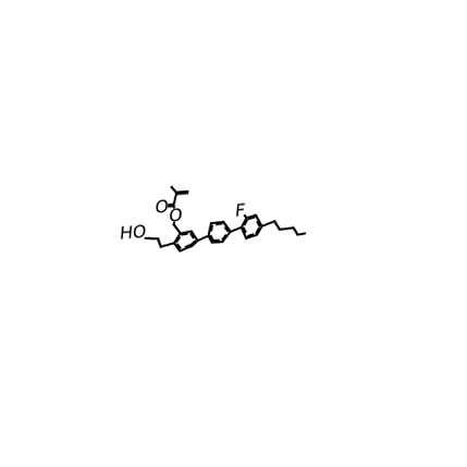 C=C(C)C(=O)OCc1cc(-c2ccc(-c3ccc(CCCCC)cc3F)cc2)ccc1CCCO